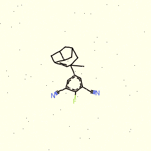 CC1(c2cc(C#N)c(F)c(C#N)c2)C=C2CC3CC(CC23)C1